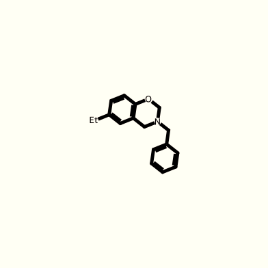 CCc1ccc2c(c1)CN(Cc1ccccc1)CO2